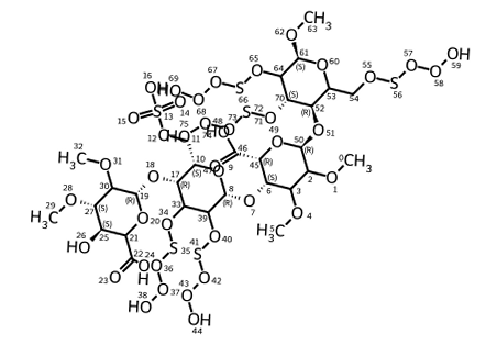 COC1C(OC)[C@H](O[C@H]2O[C@@H](COS(=O)(=O)O)[C@@H](O[C@@H]3OC(C(=O)O)[C@@H](O)[C@H](OC)C3OC)C(OSOOO)C2OSOOO)[C@H](C(=O)O)O[C@H]1O[C@@H]1C(COSOOO)O[C@H](OC)C(OSOOO)[C@H]1OSOOO